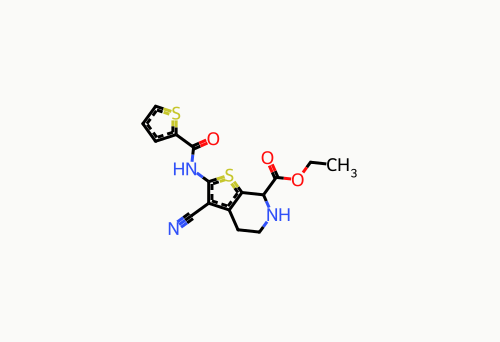 CCOC(=O)C1NCCc2c1sc(NC(=O)c1cccs1)c2C#N